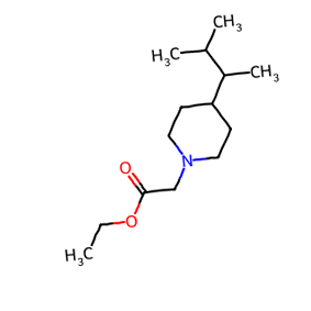 CCOC(=O)CN1CCC(C(C)C(C)C)CC1